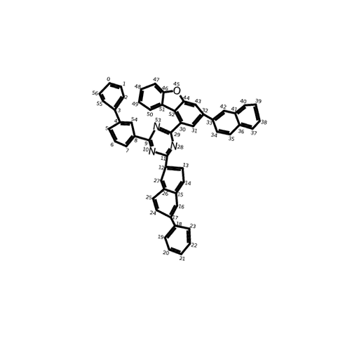 c1ccc(-c2cccc(-c3nc(-c4ccc5cc(-c6ccccc6)ccc5c4)nc(-c4cc(-c5ccc6ccccc6c5)cc5oc6ccccc6c45)n3)c2)cc1